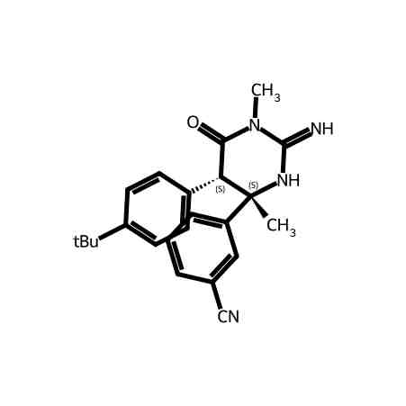 CN1C(=N)N[C@](C)(c2cccc(C#N)c2)[C@H](c2ccc(C(C)(C)C)cc2)C1=O